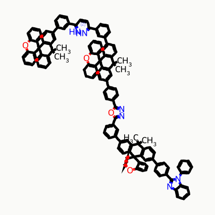 CC1(C)c2cc(-c3ccc(-c4nnc(-c5cccc(-c6ccc7c(c6)C(C)(C)c6ccc(-c8ccc(-c9nc%10ccccc%10n9-c9ccccc9)cc8)cc6C76c7ccccc7Oc7ccccc76)c5)o4)cc3)ccc2C2(C3=C(CCC=C3)Oc3ccccc32)c2cc(-c3cccc(C(=N)/C=C\C(=N)c4cccc(-c5ccc6c(c5)C(C)(C)c5ccccc5C65c6ccccc6Oc6ccccc65)c4)c3)ccc21